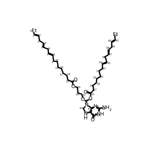 CCC=CCC=CCC=CCCCCCCCC(=O)OCCCOC(OC(=O)CCCCCCCC=CCC=CCC=CCC)N1CNc2c1nc(N)[nH]c2=O